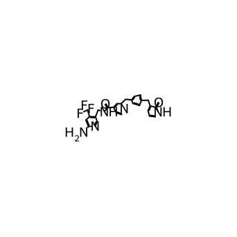 Nc1cc(C(F)(F)F)c(CNC(=O)c2ccnc(Cc3ccc(Cc4ccc[nH]c4=O)cc3)c2)cn1